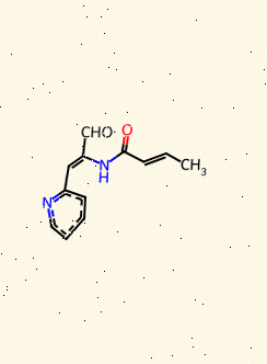 C/C=C/C(=O)NC([C]=O)=Cc1ccccn1